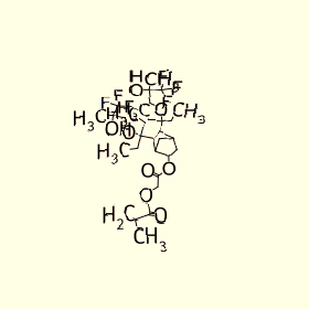 C=C(C)C(=O)OCC(=O)OC1CC2CC1C(C(CC)(CC)OCC(C)(O)C(F)(F)F)C2C(CC)(CC)OCC(C)(O)C(F)(F)F